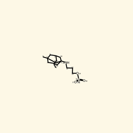 CC12CC3CC(C)(C1)CC(NCCCO[SH](=O)=O)(C3)C2